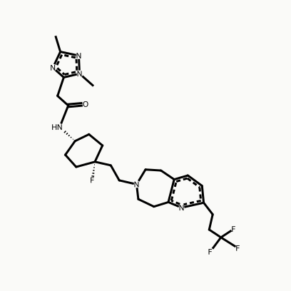 Cc1nc(CC(=O)N[C@H]2CC[C@](F)(CCN3CCc4ccc(CCC(F)(F)F)nc4CC3)CC2)n(C)n1